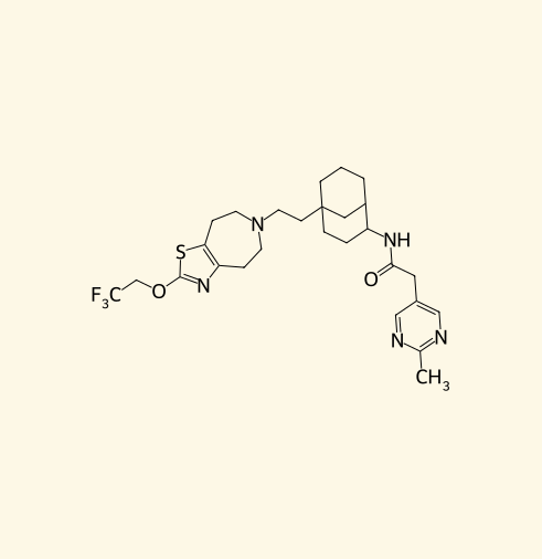 Cc1ncc(CC(=O)NC2CCC3(CCN4CCc5nc(OCC(F)(F)F)sc5CC4)CCCC2C3)cn1